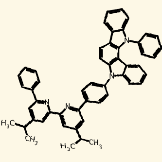 CC(C)c1cc(-c2ccccc2)nc(-c2cc(C(C)C)cc(-c3ccc(-n4c5ccccc5c5c4ccc4c6ccccc6n(-c6ccccc6)c45)cc3)n2)c1